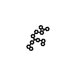 c1ccc(-n2c3ccccc3c3c(-c4cccc(-c5cccc(N(c6ccc(-c7cccc8ccccc78)cc6)c6ccc(-c7cccc8ccccc78)cc6)c5)c4)cccc32)cc1